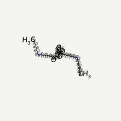 CCCCCCCC/C=C\CCCCCCCC(=O)C1COC(C(=O)CCCCCCC/C=C\CCCCCCCC)(N2CCOCC2)O1